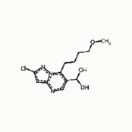 COCCCCc1c(C(O)O)cnc2cc(Cl)nn12